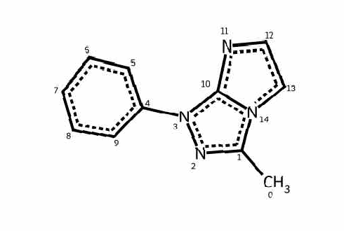 Cc1nn(-c2ccccc2)c2nccn12